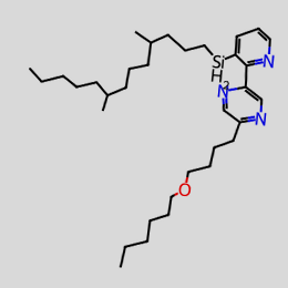 CCCCCCOCCCCc1cnc(-c2ncccc2[SiH2]CCCC(C)CCCC(C)CCCCC)cn1